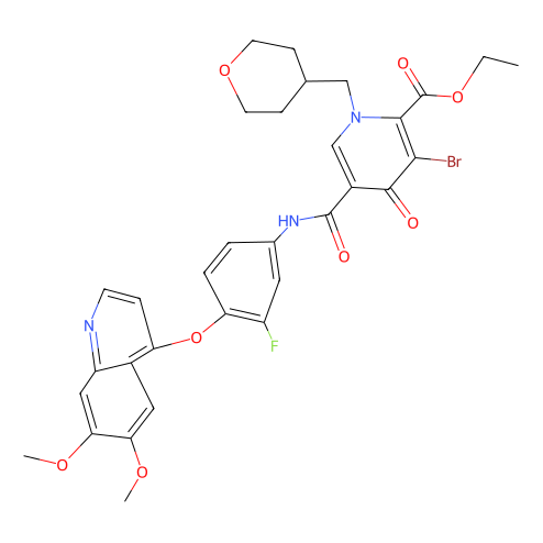 CCOC(=O)c1c(Br)c(=O)c(C(=O)Nc2ccc(Oc3ccnc4cc(OC)c(OC)cc34)c(F)c2)cn1CC1CCOCC1